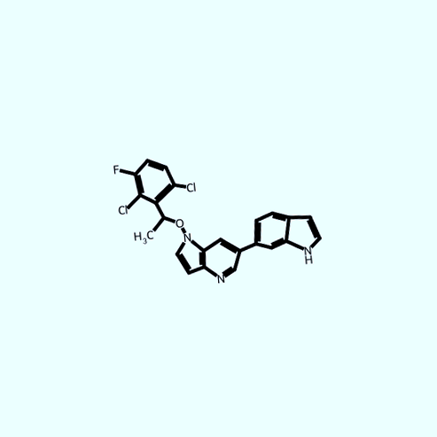 CC(On1ccc2ncc(-c3ccc4cc[nH]c4c3)cc21)c1c(Cl)ccc(F)c1Cl